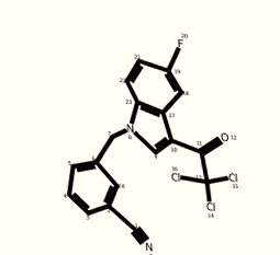 N#Cc1cccc(Cn2cc(C(=O)C(Cl)(Cl)Cl)c3cc(F)ccc32)c1